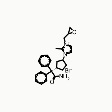 Cc1n([C@H]2CC[C@H](C(C(N)=O)(c3ccccc3)c3ccccc3)C2)cc[n+]1CC1CO1.[Br-]